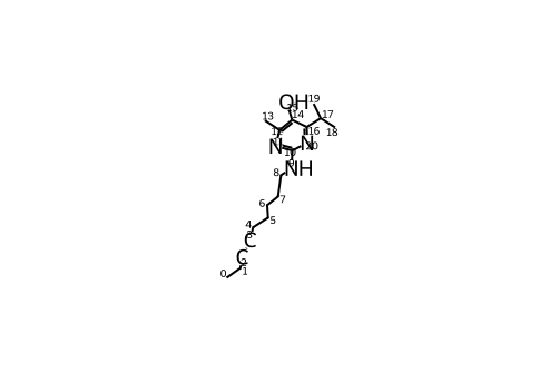 CCCCCCCCCNc1nc(C)c(O)c(C(C)C)n1